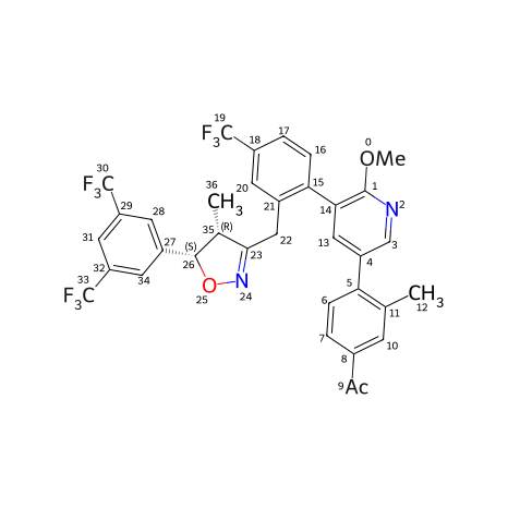 COc1ncc(-c2ccc(C(C)=O)cc2C)cc1-c1ccc(C(F)(F)F)cc1CC1=NO[C@H](c2cc(C(F)(F)F)cc(C(F)(F)F)c2)[C@@H]1C